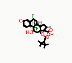 C[C@@H]1C[C@H]2[C@@H]3C[C@H](F)C4=CC(=O)C=C[C@]4(C)[C@@]3(F)[C@@H](O)C[C@]2(C)[C@]1(OC(=O)C1C(C)(C)C1(C)C)C(=O)O